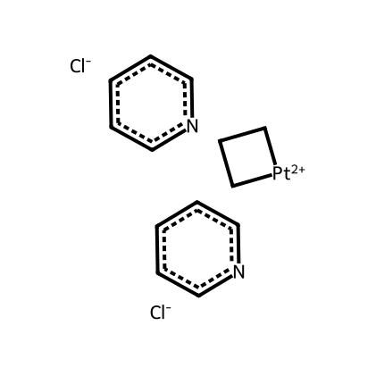 C1[CH2][Pt+2][CH2]1.[Cl-].[Cl-].c1ccncc1.c1ccncc1